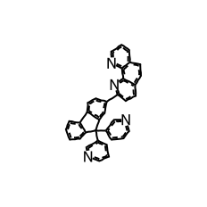 c1cncc(C2(c3cccnc3)c3ccccc3-c3ccc(-c4ccc5ccc6cccnc6c5n4)cc32)c1